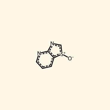 [O-][s+]1cnc2ncccc21